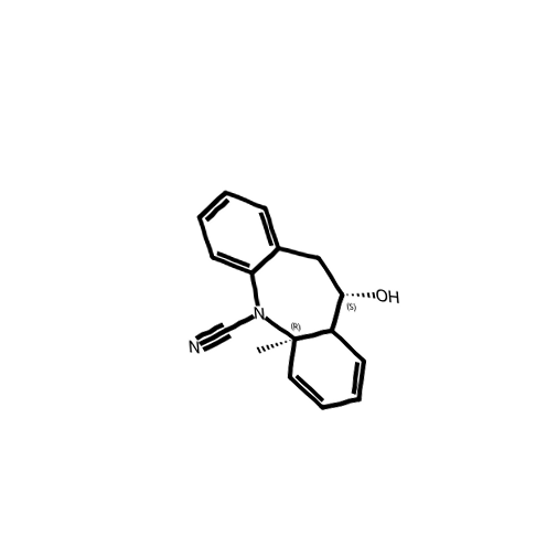 C[C@@]12C=CC=CC1[C@@H](O)Cc1ccccc1N2C#N